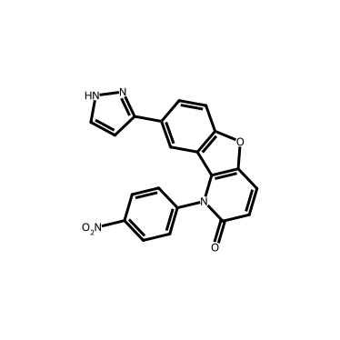 O=c1ccc2oc3ccc(-c4cc[nH]n4)cc3c2n1-c1ccc([N+](=O)[O-])cc1